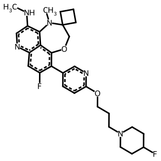 CNc1cnc2cc(F)c(-c3ccc(OCCCN4CCC(F)CC4)nc3)c3c2c1N(C)C1(CCC1)CO3